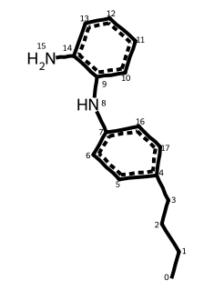 CCCCc1ccc(Nc2ccccc2N)cc1